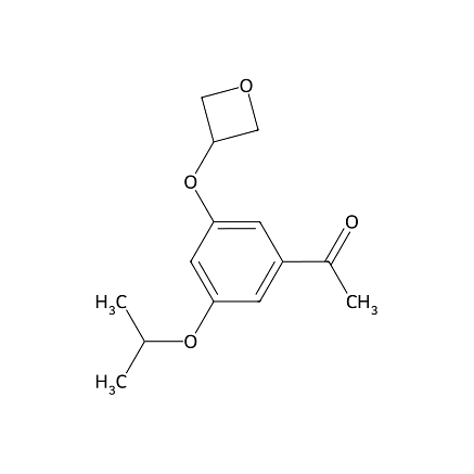 CC(=O)c1cc(OC(C)C)cc(OC2COC2)c1